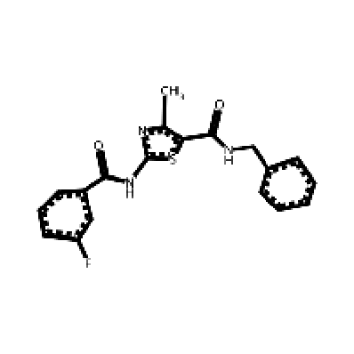 Cc1nc(NC(=O)c2cccc(F)c2)sc1C(=O)NCc1ccccc1